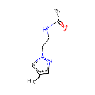 Cc1cnn(CCNC(=O)C(C)C)c1